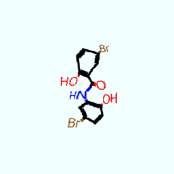 O=C(Nc1cc(Br)ccc1O)c1cc(Br)ccc1O